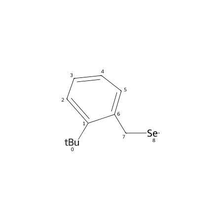 CC(C)(C)c1ccccc1C[Se]